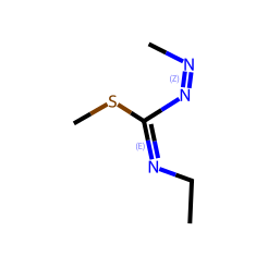 CC/N=C(\N=N/C)SC